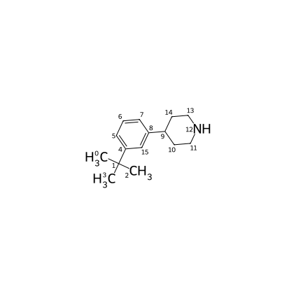 CC(C)(C)c1cccc(C2CCNCC2)c1